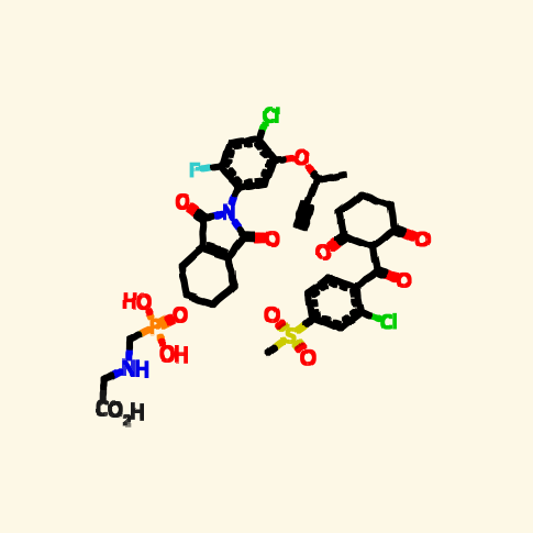 C#CC(C)Oc1cc(N2C(=O)C3=C(CCCC3)C2=O)c(F)cc1Cl.CS(=O)(=O)c1ccc(C(=O)C2C(=O)CCCC2=O)c(Cl)c1.O=C(O)CNCP(=O)(O)O